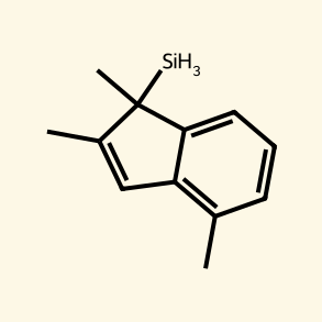 CC1=Cc2c(C)cccc2C1(C)[SiH3]